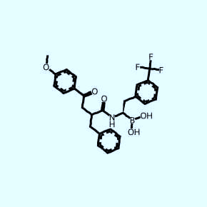 COc1ccc(C(=O)CC(Cc2ccccc2)C(=O)N[C@@H](Cc2cccc(C(F)(F)F)c2)B(O)O)cc1